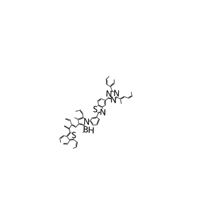 C=C/C(=C\c1c(C)c(/C=C\C)n(-c2cccc(-c3nc4cc(-c5nc(/C(C)=C/C=C\C)nc(C(/C=C\C)=C/C)n5)ccc4s3)c2)c1BC)C(=C)c1sc(/C=C\C)c(C=C)c1/C=C\C